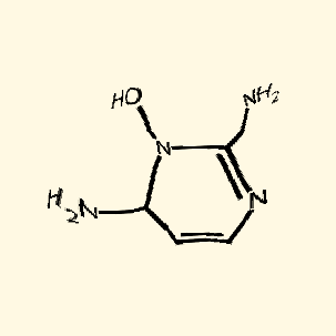 NC1=NC=CC(N)N1O